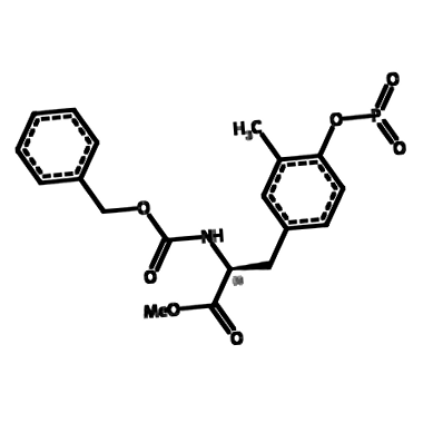 COC(=O)[C@H](Cc1ccc(OP(=O)=O)c(C)c1)NC(=O)OCc1ccccc1